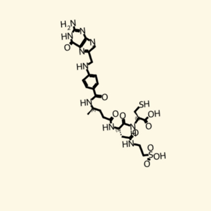 C[C@H](CCC(=O)N[C@@H](CC(=O)NCCS(=O)(=O)O)C(=O)N[C@@H](CS)C(=O)O)NC(=O)c1ccc(NCc2cnc3nc(N)[nH]c(=O)c3n2)cc1